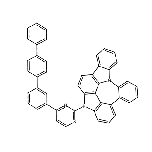 c1ccc(-c2ccc(-c3cccc(-c4ccnc(-n5c6cccc7c8ccccc8n8c9ccccc9c9ccc5c(c76)c98)n4)c3)cc2)cc1